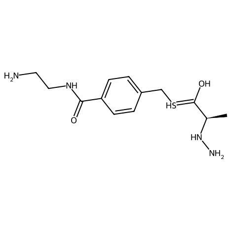 C[C@@H](NN)C(O)=[SH]Cc1ccc(C(=O)NCCN)cc1